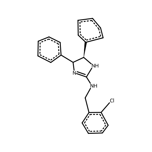 Clc1ccccc1CNC1=NC(c2ccccc2)[C@@H](c2ccccc2)N1